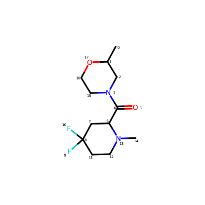 CC1CN(C(=O)C2CC(F)(F)CCN2C)CCO1